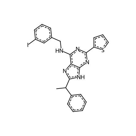 CC(c1ccccc1)c1nc2c(NCc3cccc(I)c3)nc(-c3cccs3)nc2[nH]1